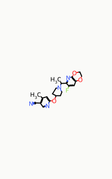 Cc1cc(OC2CCN(C(C)c3nc4c(cc3F)OCCO4)CC2)ncc1C#N